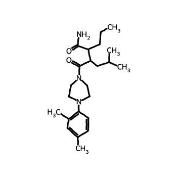 CCCC(C(N)=O)C(CC(C)C)C(=O)N1CCN(c2ccc(C)cc2C)CC1